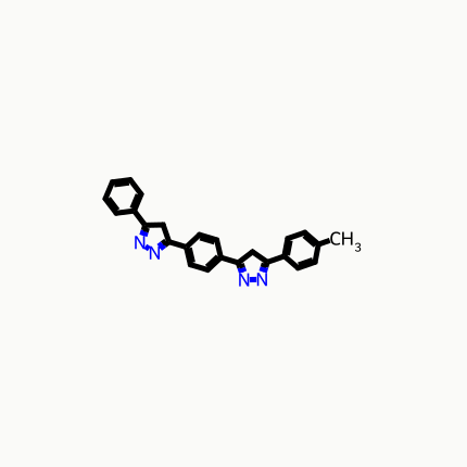 Cc1ccc(C2=NN=C(c3ccc(C4=NN=C(c5ccccc5)C4)cc3)C2)cc1